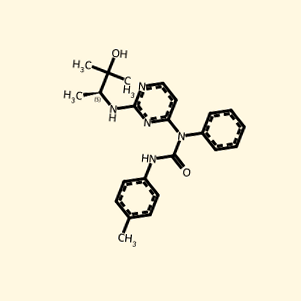 Cc1ccc(NC(=O)N(c2ccccc2)c2ccnc(N[C@@H](C)C(C)(C)O)n2)cc1